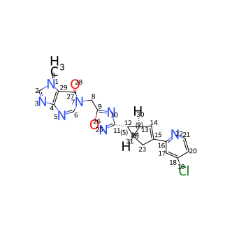 Cn1cnc2ncn(Cc3nc([C@@H]4[C@H]5C=C(c6cc(Cl)ccn6)C[C@H]54)no3)c(=O)c21